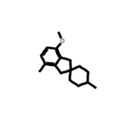 COc1ccc(C)c2c1CC1(CCC(C)CC1)C2